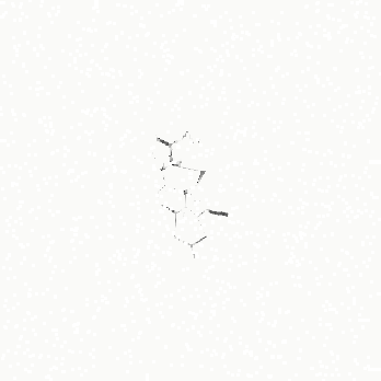 C=CC1CC(C)CC2=CC[C@H]3[C@@H]4CC(C)=C(C(C)=O)[C@@]4(C)CC[C@@H]3[C@]21C